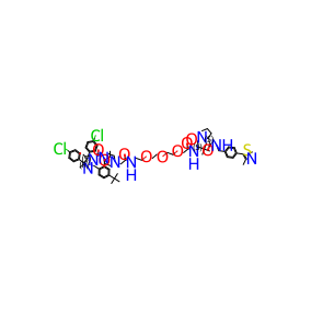 CCOc1cc(C(C)(C)C)ccc1C1=N[C@](C)(c2ccc(Cl)cc2)[C@](C)(c2ccc(Cl)cc2)N1C(=O)N1CCN(CC(=O)NCCOCCOCCOCC(=O)N[C@H](C(=O)N2CCC[C@H]2C(=O)NCc2ccc(-c3scnc3C)cc2)C(C)(C)C)CC1